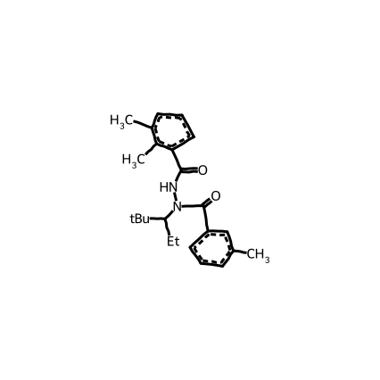 CCC(N(NC(=O)c1cccc(C)c1C)C(=O)c1cccc(C)c1)C(C)(C)C